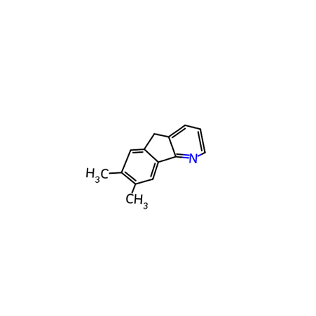 Cc1cc2c(cc1C)-c1ncccc1C2